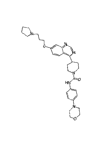 O=C(Nc1ccc(N2CCOCC2)cc1)N1CCC(c2ncnc3cc(OCCCN4CCCC4)ccc23)CC1